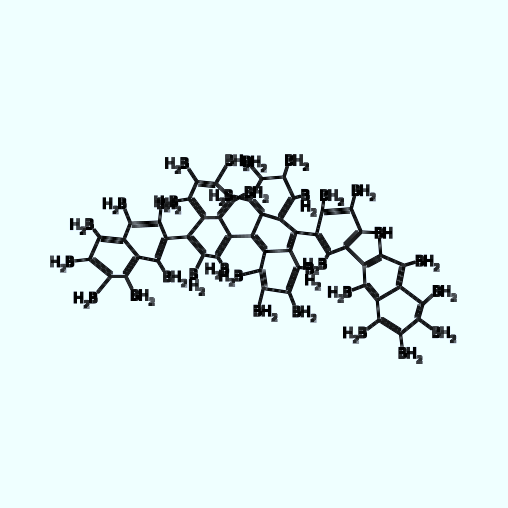 BC1=c2c(-c3c(B)c(B)c4c(c3B)-c3c(c(B)c5c(B)c(B)c(B)c(B)c5c3B)B4)c3c(B)c(B)c(B)c(B)c3c(-c3c(B)c(B)c(-c4c(B)c(B)c5c(B)c(B)c(B)c(B)c5c4B)c4c(B)c(B)c(B)c(B)c34)c2=C(B)C(B)C1B